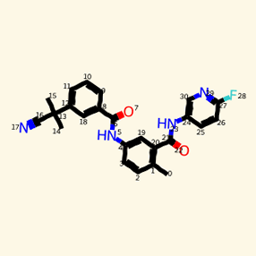 Cc1ccc(NC(=O)c2cccc(C(C)(C)C#N)c2)cc1C(=O)Nc1ccc(F)nc1